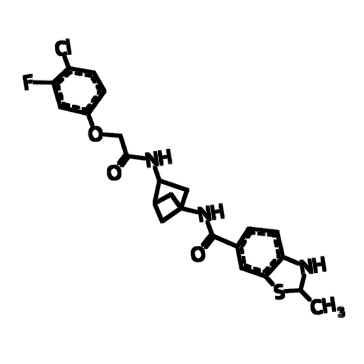 CC1Nc2ccc(C(=O)NC34CC(C3)C(NC(=O)COc3ccc(Cl)c(F)c3)C4)cc2S1